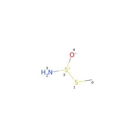 CS[S+](N)[O-]